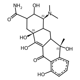 CN(C)[C@@H]1C(O)C(C(N)=O)C[C@@]2(O)C(O)=C3C(=O)c4c(O)cccc4[C@@](C)(O)C3CC12